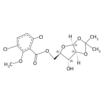 COc1c(Cl)ccc(Cl)c1C(=O)OC[C@H]1O[C@H]2OC(C)(C)O[C@H]2[C@@H]1O